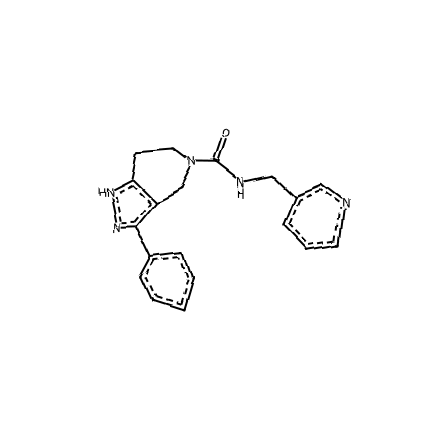 O=C(NCc1cccnc1)N1CCc2[nH]nc(-c3ccccc3)c2C1